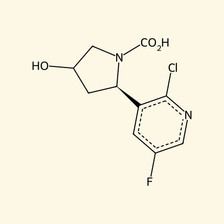 O=C(O)N1CC(O)C[C@@H]1c1cc(F)cnc1Cl